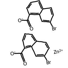 O=C([O-])c1cccc2ccc(Br)cc12.O=C([O-])c1cccc2ccc(Br)cc12.[Zn+2]